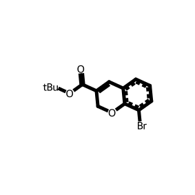 CC(C)(C)OC(=O)C1=Cc2cccc(Br)c2OC1